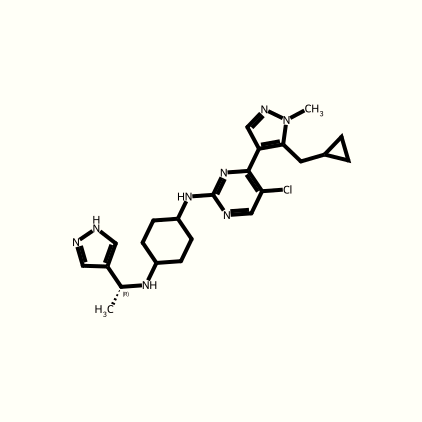 C[C@@H](NC1CCC(Nc2ncc(Cl)c(-c3cnn(C)c3CC3CC3)n2)CC1)c1cn[nH]c1